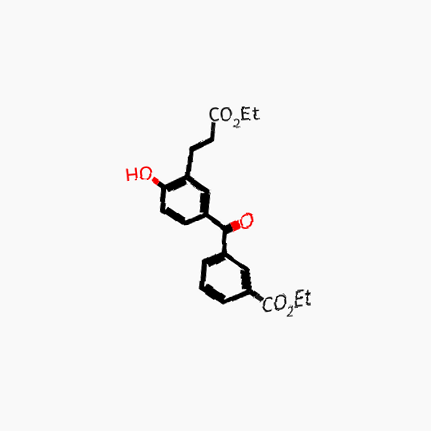 CCOC(=O)CCc1cc(C(=O)c2cccc(C(=O)OCC)c2)ccc1O